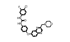 O=C(Nc1ccc(Oc2ccc3ncc(CN4CCOCC4)nc3c2)cc1)Nc1ccc(Cl)c(F)c1